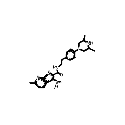 CNc1c(C(=O)NCCc2ccc(N3CC(C)NC(C)C3)cc2)sc2nc(C)ccc12